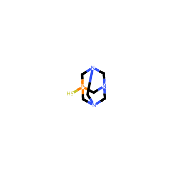 S[P]12CN3CN(CN(C3)C1)C2